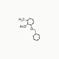 CC(=O)Oc1c(C)cccc1OCc1ccccc1